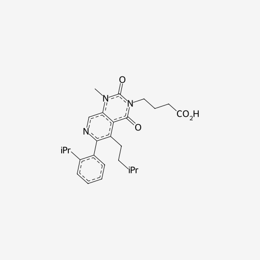 CC(C)CCc1c(-c2ccccc2C(C)C)ncc2c1c(=O)n(CCCC(=O)O)c(=O)n2C